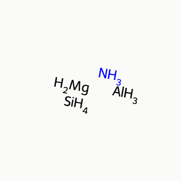 N.[AlH3].[MgH2].[SiH4]